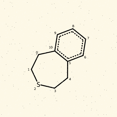 [CH]1CSCCc2ccccc21